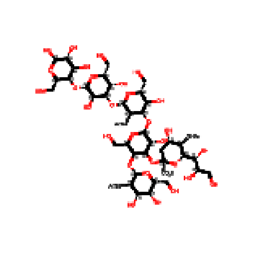 CC(=O)N[C@H]1[C@H](O[C@@H]2[C@H](O[C@]3(C(=O)O)C[C@H](O)[C@@H](NC(C)=O)[C@H]([C@H](O)[C@H](O)CO)O3)[C@@H](O)[C@H](O[C@H]3[C@H](O)[C@@H](CO)O[C@@H](O[C@H]4[C@@H](O)[C@@H](CO)O[C@@H](O[C@H]5[C@H](O)[C@@H](O)[C@H](O)O[C@@H]5CO)[C@@H]4O)[C@@H]3NC(C)=O)O[C@@H]2CO)O[C@H](CO)[C@H](O)[C@@H]1O